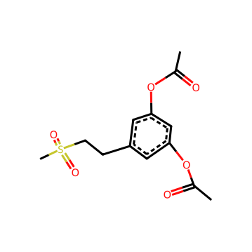 CC(=O)Oc1cc(CCS(C)(=O)=O)cc(OC(C)=O)c1